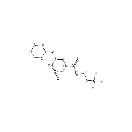 CN(C[C@H](CC1CCCCC1)N=C=S)C(=O)OCC[Si](C)(C)C